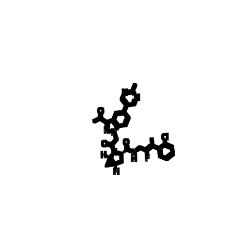 CC(=O)c1nn(CC(=O)N2[C@@H]3C[C@@H]3C[C@H]2C(=O)NC/C(F)=C(\C)c2ccccc2Cl)c2ccc(-c3cnc(C)nc3)cc12